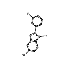 CCn1c(-c2cccc(F)c2)cc2cc(C#N)ccc21